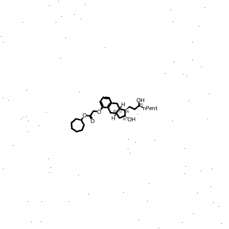 CCCCC[C@H](O)CC[C@@H]1[C@H]2Cc3cccc(OCC(=O)OC4CCCCCC4)c3C[C@H]2C[C@H]1O